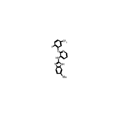 CC(C)(C)c1ccc2nc(Nc3cccnc3Oc3cc(C(F)(F)F)ccc3F)[nH]c2c1